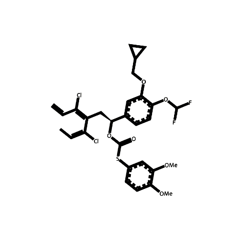 C=C/C(Cl)=C(C[C@H](OC(=O)Sc1ccc(OC)c(OC)c1)c1ccc(OC(F)F)c(OCC2CC2)c1)\C(Cl)=C/C